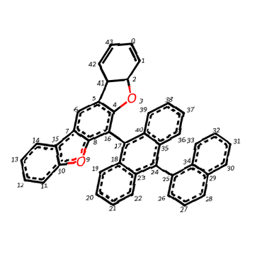 C1=CC2Oc3c(cc4c(oc5ccccc54)c3-c3c4ccccc4c(-c4cccc5ccccc45)c4ccccc34)C2C=C1